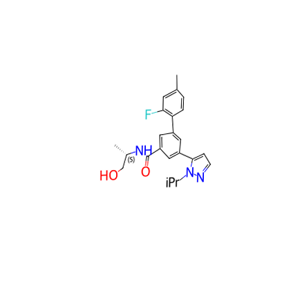 Cc1ccc(-c2cc(C(=O)N[C@@H](C)CO)cc(-c3ccnn3C(C)C)c2)c(F)c1